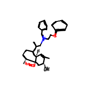 CC(=O)O[C@@H]1[CH][C@@]2(O)[C@H](C)CC[C@@H](C(C)CN(CCOc3ccccc3)Cc3ccccc3)[C@H]2C=C1C